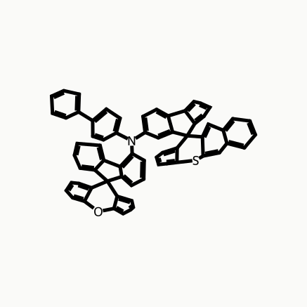 c1ccc(-c2ccc(N(c3ccc4c(c3)C3(c5ccccc5Sc5cc6ccccc6cc53)c3ccccc3-4)c3cccc4c3-c3ccccc3C43c4ccccc4Oc4ccccc43)cc2)cc1